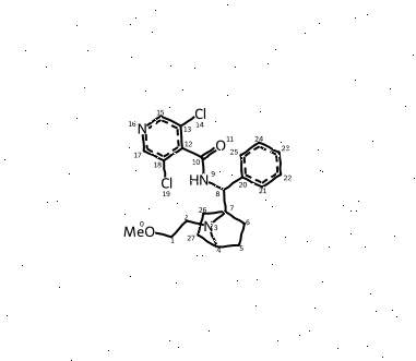 COCCN1C2CCC1(C(NC(=O)c1c(Cl)cncc1Cl)c1ccccc1)CC2